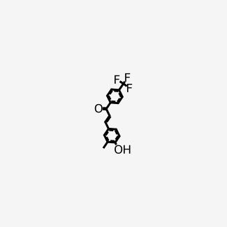 Cc1cc(C=CC(=O)c2ccc(C(F)(F)F)cc2)ccc1O